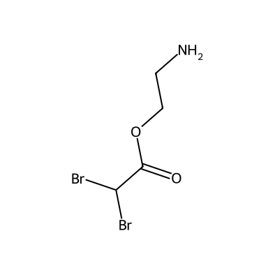 NCCOC(=O)C(Br)Br